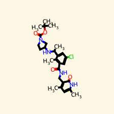 Cc1cc(C)c(CNC(=O)c2cc(Cl)cc(C(C)NC3CCN(C(=O)OC(C)(C)C)C3)c2C)c(=O)[nH]1